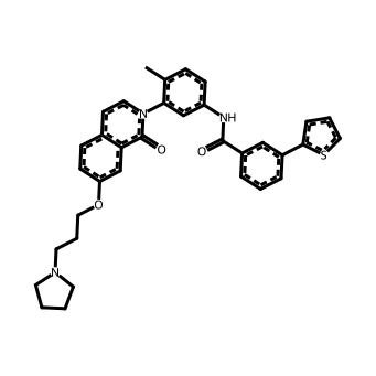 Cc1ccc(NC(=O)c2cccc(-c3cccs3)c2)cc1-n1ccc2ccc(OCCCN3CCCC3)cc2c1=O